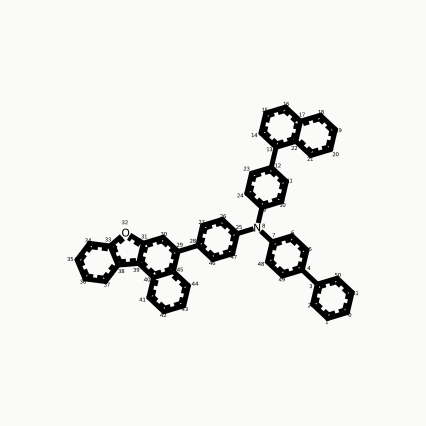 c1ccc(-c2ccc(N(c3ccc(-c4cccc5ccccc45)cc3)c3ccc(-c4cc5oc6ccccc6c5c5ccccc45)cc3)cc2)cc1